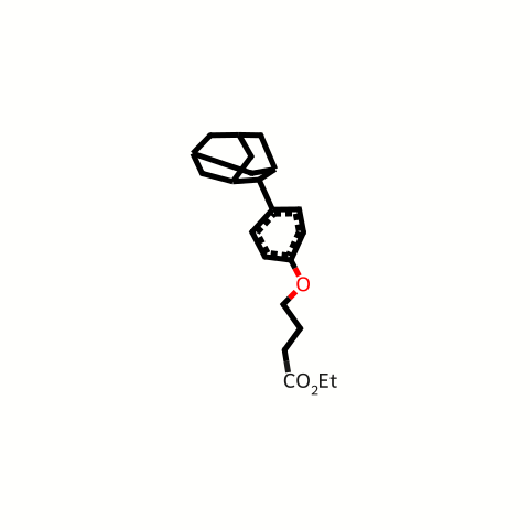 CCOC(=O)CCCOc1ccc(C2C3CC4CC(C3)CC2C4)cc1